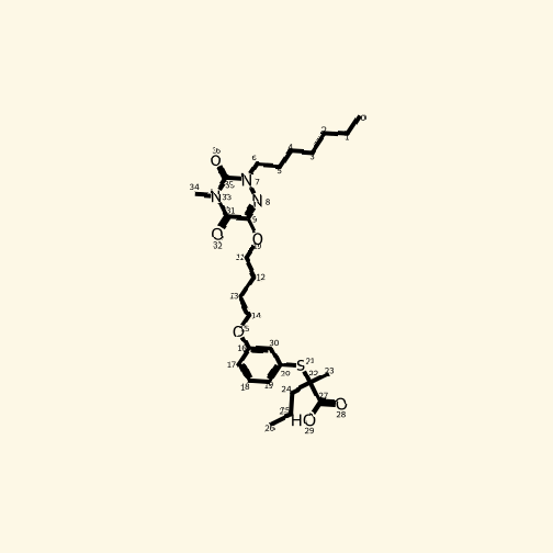 CCCCCCCn1nc(OCCCCOc2cccc(SC(C)(CCC)C(=O)O)c2)c(=O)n(C)c1=O